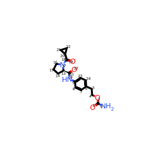 NC(=O)OCCc1ccc(NC(=O)[C@H]2CCCN2C(=O)C2CC2)cc1